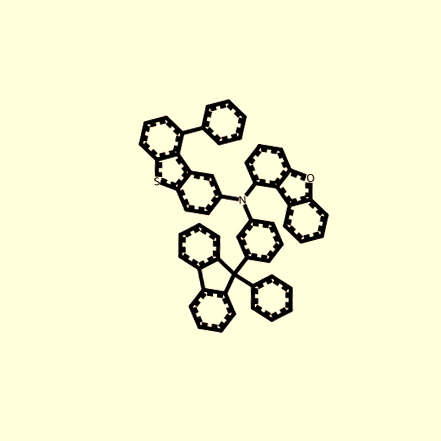 c1ccc(-c2cccc3sc4ccc(N(c5cccc(C6(c7ccccc7)c7ccccc7-c7ccccc76)c5)c5cccc6oc7ccccc7c56)cc4c23)cc1